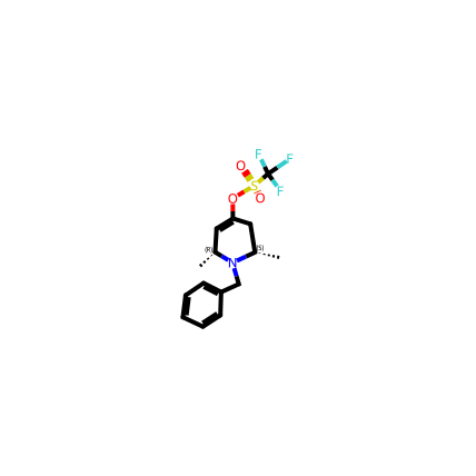 C[C@@H]1C=C(OS(=O)(=O)C(F)(F)F)C[C@H](C)N1Cc1ccccc1